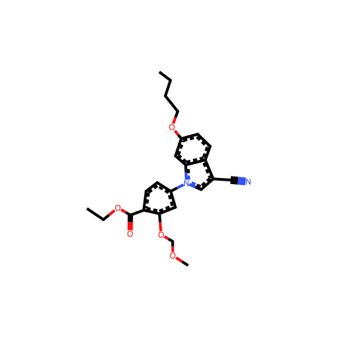 CCCCOc1ccc2c(C#N)cn(-c3ccc(C(=O)OCC)c(OCOC)c3)c2c1